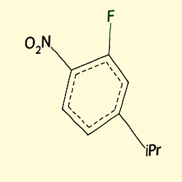 [CH2]C(C)c1ccc([N+](=O)[O-])c(F)c1